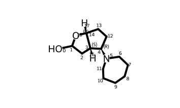 OC1C[C@H]2[C@H](N3CCCCCC3)CC[C@H]2O1